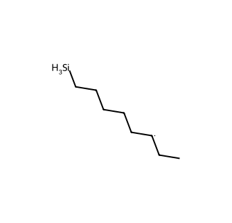 CC[CH]CCCCC[SiH3]